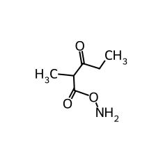 CCC(=O)C(C)C(=O)ON